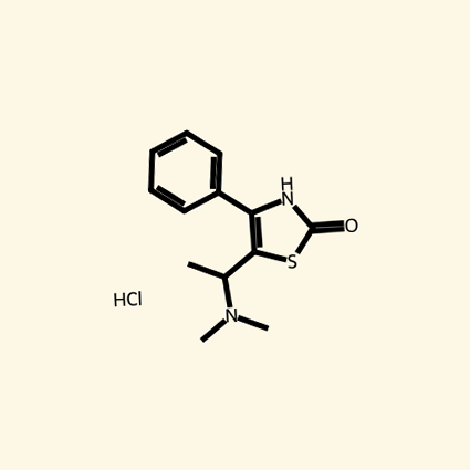 CC(c1sc(=O)[nH]c1-c1ccccc1)N(C)C.Cl